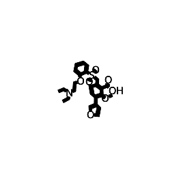 CCN(CC)CCOc1ccccc1S(=O)(=O)Cc1ccc(-c2ccoc2)c(OC)c1C(=O)O